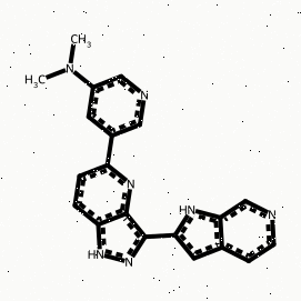 CN(C)c1cncc(-c2ccc3[nH]nc(-c4cc5ccncc5[nH]4)c3n2)c1